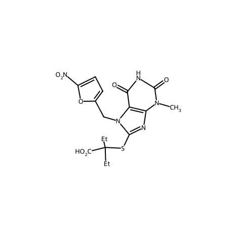 CCC(CC)(Sc1nc2c(c(=O)[nH]c(=O)n2C)n1Cc1ccc([N+](=O)[O-])o1)C(=O)O